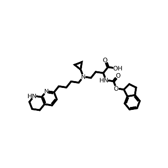 O=C(NC(CCN(CCCCc1ccc2c(n1)NCCC2)C1CC1)C(=O)O)OC1CCc2ccccc21